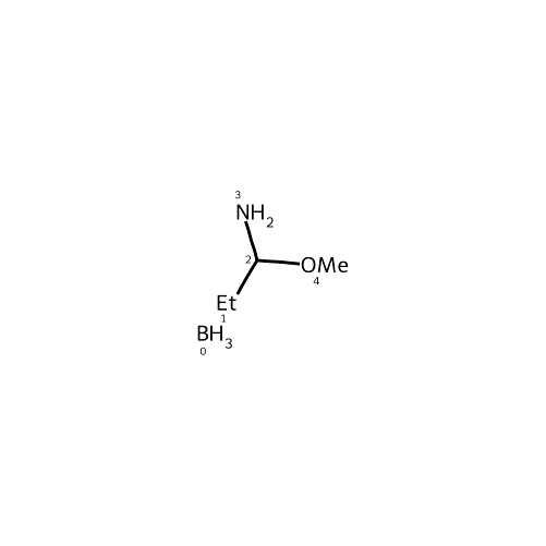 B.CCC(N)OC